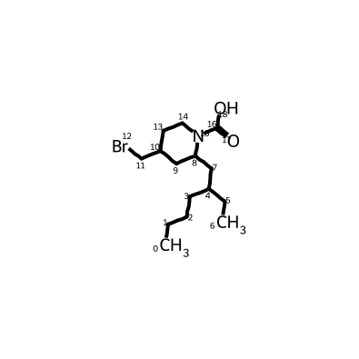 CCCCC(CC)CC1CC(CBr)CCN1C(=O)O